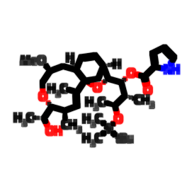 CO[C@@H]1CO[C@@H]([C@@H](C)O)[C@H](C)/C=C(\C)[C@@]23C[C@@H](C=C[C@@H]2C1)[C@H]([C@H](OC(=O)c1ccc[nH]1)[C@H](C)[C@H](C)O[Si](C)(C)C(C)(C)C)O3